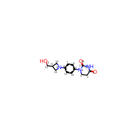 O=C1CCN(c2ccc(N3CC(CO)C3)cc2)C(=O)N1